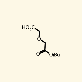 CC(C)COC(=O)COCC(=O)O